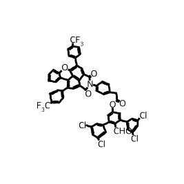 O=Cc1c(-c2cc(Cl)cc(Cl)c2)cc(OC(=O)Cc2ccc(-n3c(=O)c4cc(-c5ccc(C(F)(F)F)cc5)c5oc6ccccc6c6c(-c7ccc(C(F)(F)F)cc7)cc(c3=O)c4c56)cc2)cc1-c1cc(Cl)cc(Cl)c1